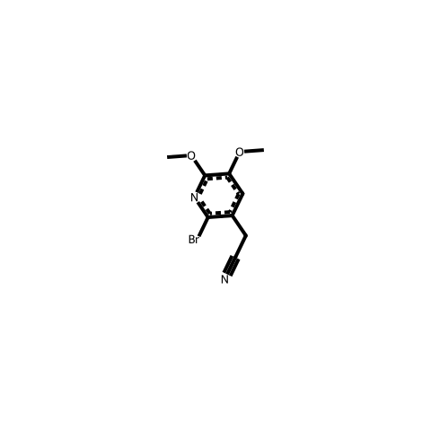 COc1cc(CC#N)c(Br)nc1OC